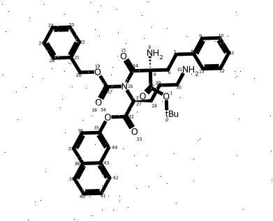 CC(C)(C)OC(=O)[C@](N)(CCc1ccccc1)C(=O)N(C(=O)OCc1ccccc1)[C@@H](CCCN)C(=O)Oc1ccc2ccccc2c1